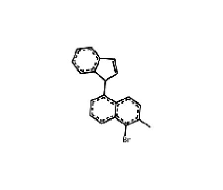 Cc1ccc2c(C3C=Cc4ccccc43)cccc2c1Br